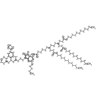 CCCCCCCCCCCCOC(=O)CCN(CCCCCC(=O)Nc1nc(OCCCC)nc2c1[nH]c(=O)n2CCCN(CCCN1CCOCC1)Cc1cccc(C(=O)OC)c1)CCCN(CCC(=O)OCCCCCCCCCCCC)CCC(=O)OCCCCCCCCCCCC